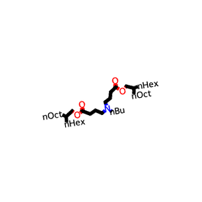 CCCCCCCCC(CCCCCC)COC(=O)CCCN(CCCC)CCCC(=O)OCC(CCCCCC)CCCCCCCC